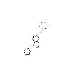 COc1cc2c(Nc3ccc(Br)c(Cl)c3F)ncnc2cc1OCC1CN(C)CC(=O)N1C